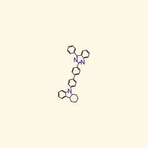 c1ccc(-c2nc(-c3ccc(-c4ccc(N5c6ccccc6C6CCCCC65)cc4)cc3)nc3ccccc23)cc1